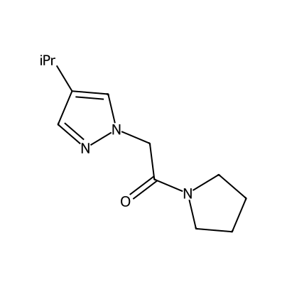 CC(C)c1cnn(CC(=O)N2CCCC2)c1